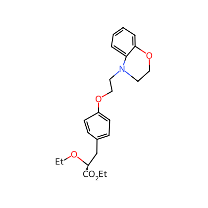 CCOC(=O)[C@H](Cc1ccc(OCCN2CCOc3ccccc32)cc1)OCC